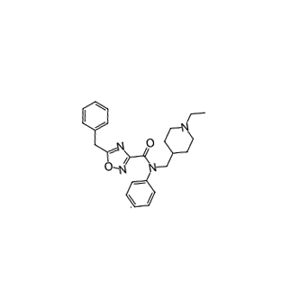 CCN1CCC(CN(C(=O)c2noc(Cc3ccccc3)n2)c2cc[c]cc2)CC1